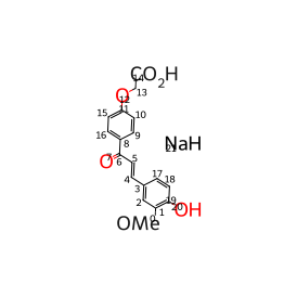 COc1cc(C=CC(=O)c2ccc(OCC(=O)O)cc2)ccc1O.[NaH]